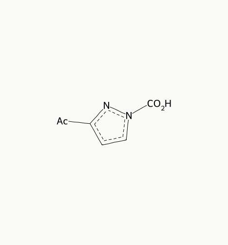 CC(=O)c1ccn(C(=O)O)n1